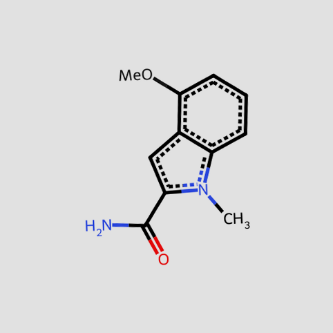 COc1cccc2c1cc(C(N)=O)n2C